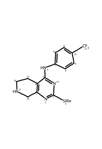 CSc1nc2c(c(Nc3ccc(C(F)(F)F)cc3)n1)CCNC2